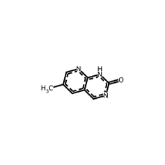 Cc1cnc2[nH]c(=O)ncc2c1